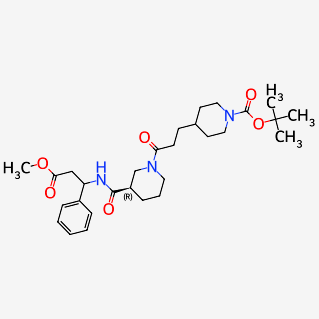 COC(=O)CC(NC(=O)[C@@H]1CCCN(C(=O)CCC2CCN(C(=O)OC(C)(C)C)CC2)C1)c1ccccc1